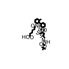 CSc1sc(C=NNC(=O)OC(C)(C)C)cc1S(=O)(=O)c1cccc(-c2c(C)cccc2NC(=O)CCCCC(=O)O)c1